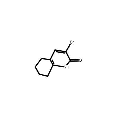 O=c1[nH]c2c(cc1Br)CCCC2